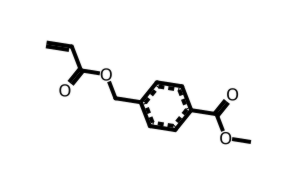 C=CC(=O)OCc1ccc(C(=O)OC)cc1